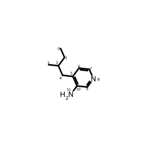 CCC(C)Cc1ccncc1N